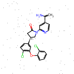 C=C(N)c1ccnc(N2C[C@@H](c3ccc(Cl)c(Oc4ccccc4Cl)c3)CC2=O)c1